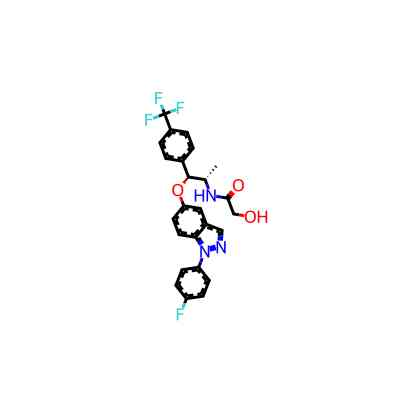 C[C@H](NC(=O)CO)[C@@H](Oc1ccc2c(cnn2-c2ccc(F)cc2)c1)c1ccc(C(F)(F)F)cc1